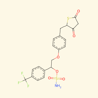 NS(=O)(=O)OC(COc1ccc(CC2SC(=O)CC2=O)cc1)c1ccc(C(F)(F)F)cc1